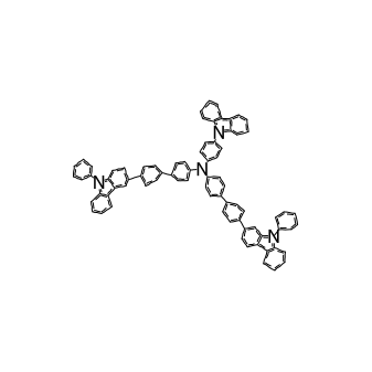 c1ccc(-n2c3ccccc3c3cc(-c4ccc(-c5ccc(N(c6ccc(-c7ccc(-c8ccc9c%10ccccc%10n(-c%10ccccc%10)c9c8)cc7)cc6)c6ccc(-n7c8ccccc8c8ccccc87)cc6)cc5)cc4)ccc32)cc1